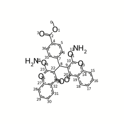 COC(=O)c1ccc(C(c2c(ON)oc3ccccc3c2=O)c2c(ON)oc3ccccc3c2=O)cc1